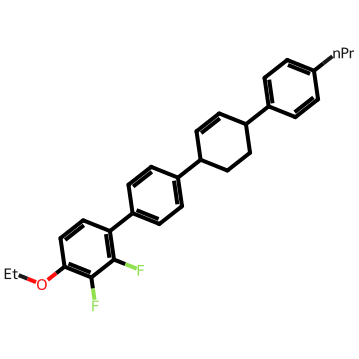 CCCc1ccc(C2C=CC(c3ccc(-c4ccc(OCC)c(F)c4F)cc3)CC2)cc1